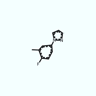 Cc1cc(-n2cc[c]n2)ccc1F